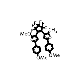 COc1ccc(-c2cc(C3=C(c4cc(-c5ccc(OC)cc5)sc4OC)C(F)(F)C(F)(F)C3(F)F)c(C)s2)cc1